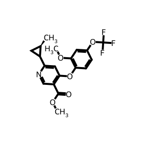 COC(=O)c1cnc(C2C[C@H]2C)cc1Oc1ccc(OC(F)(F)F)cc1OC